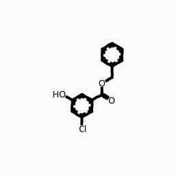 O=C(OCc1ccccc1)c1cc(O)cc(Cl)c1